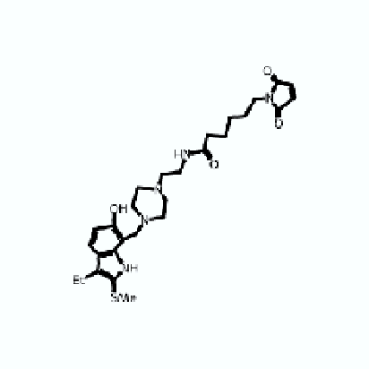 CCc1c(SC)[nH]c2c(CN3CCN(CCNC(=O)CCCCCN4C(=O)C=CC4=O)CC3)c(O)ccc12